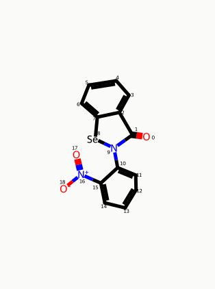 O=c1c2ccccc2[se]n1-c1ccccc1[N+](=O)[O-]